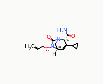 C=CCON1C(=O)N2C[C@H]1C=C(C1CC1)[C@H]2C(N)=O